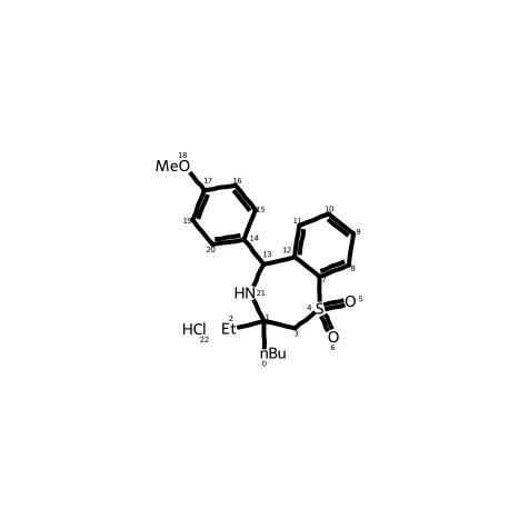 CCCCC1(CC)CS(=O)(=O)c2ccccc2C(c2ccc(OC)cc2)N1.Cl